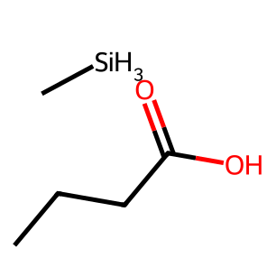 CCCC(=O)O.C[SiH3]